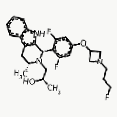 C[C@@H]1Cc2c([nH]c3ccccc23)[C@@H](c2c(F)cc(OC3CN(CCCF)C3)cc2F)N1C[C@@H](C)O